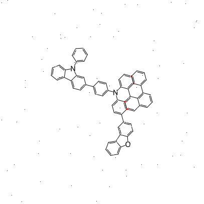 c1ccc(-c2cccc3cccc(-c4ccccc4N(c4ccc(-c5ccc6oc7ccccc7c6c5)cc4)c4ccc(-c5ccc6c7ccccc7n(-c7ccccc7)c6c5)cc4)c23)cc1